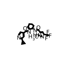 Cn1nc(C(F)(F)F)cc1C(=O)N[C@H]1CCCc2oc(-c3ccnc(C4CC4)c3)nc21